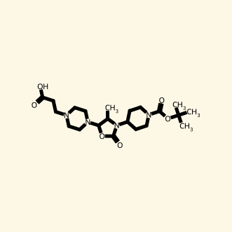 CC1C(N2CCN(CCC(=O)O)CC2)OC(=O)N1C1CCN(C(=O)OC(C)(C)C)CC1